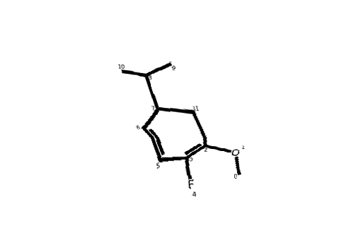 COC1=C(F)C=CC(C(C)C)C1